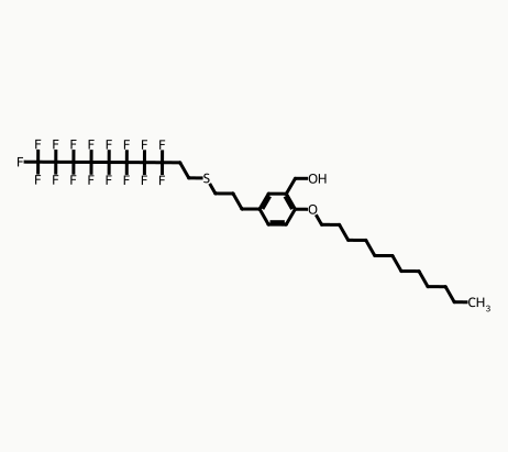 CCCCCCCCCCCCOc1ccc(CCCSCCC(F)(F)C(F)(F)C(F)(F)C(F)(F)C(F)(F)C(F)(F)C(F)(F)C(F)(F)F)cc1CO